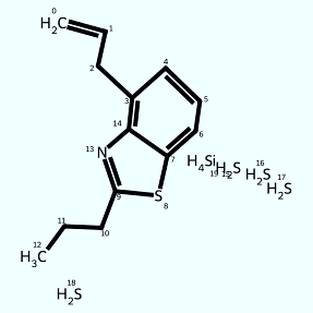 C=CCc1cccc2sc(CCC)nc12.S.S.S.S.[SiH4]